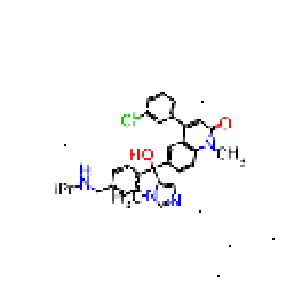 CC(C)NCc1ccc(C(O)(c2ccc3c(c2)c(-c2cccc(Cl)c2)cc(=O)n3C)c2cncn2C)cc1